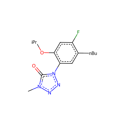 CCCCc1cc(-n2nnn(C)c2=O)c(OC(C)C)cc1F